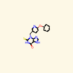 O=c1[nH]c(=S)n(Cc2ccc(Oc3ccccc3)nc2)c2nc[nH]c12